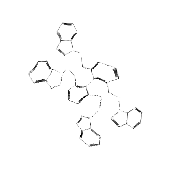 C1=CC2C=CN(PCc3cccc(CPn4ccc5ccccc54)c3-c3c(CPN4CCc5ccccc54)cccc3CPn3ccc4ccccc43)C2C=C1